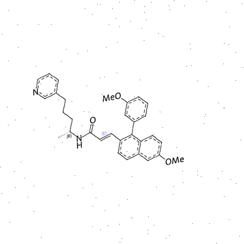 COc1cccc(-c2c(/C=C/C(=O)N[C@H](C)CCCc3cccnc3)ccc3cc(OC)ccc23)c1